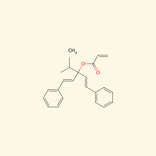 C.C=CC(=O)OC(C=Cc1ccccc1)(C=Cc1ccccc1)C(C)C